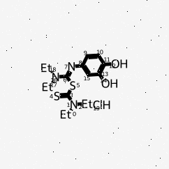 CCN(CC)C(=S)S/C(=N\c1ccc(O)c(O)c1)N(CC)CC.Cl